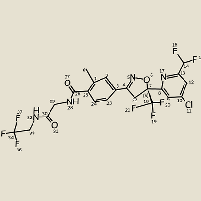 Cc1cc(C2=NO[C@@](c3cc(Cl)cc(C(F)F)n3)(C(F)(F)F)C2)ccc1C(=O)NCC(=O)NCC(F)(F)F